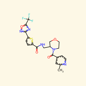 Cc1cc(C(=O)N2CCOCC2CNC(=O)c2ccc(-c3noc(C(F)(F)F)n3)s2)ccn1